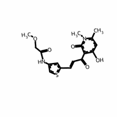 COCC(=O)Nc1csc(C=CC(=O)c2c(O)cc(C)n(C)c2=O)c1